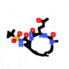 CC(=O)CCC1NC(=O)N(C)CCCCC=CC2CC2(C(=O)NS(=O)(=O)C2(C)CC2)NC1=O